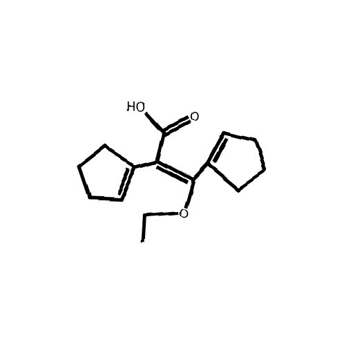 CCOC(C1=CCCC1)=C(C(=O)O)C1=CCCC1